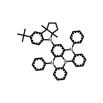 CC(C)(C)c1ccc2c(c1)C1(C)CCCC1(C)N2c1cc2c3c(c1)N(c1ccccc1)c1ccccc1B3c1ccccc1N2c1ccccc1